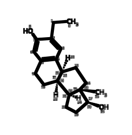 CCc1cc2c(cc1O)CC[C@H]1[C@@H]2CC[C@]2(C)[C@@H](O)CC[C@@H]12